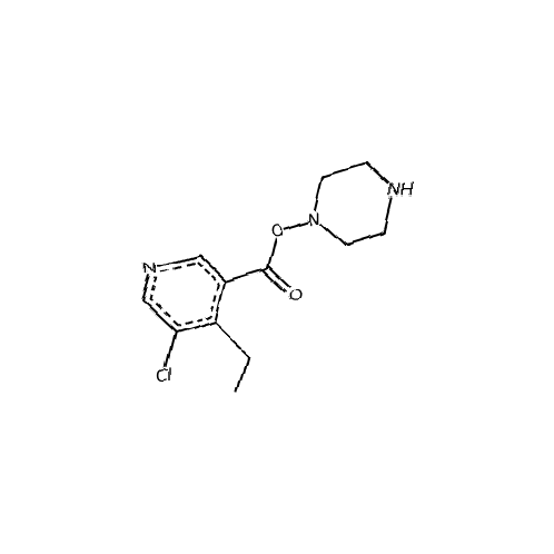 CCc1c(Cl)cncc1C(=O)ON1CCNCC1